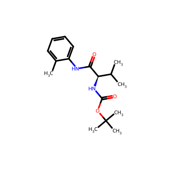 Cc1ccccc1NC(=O)[C@H](NC(=O)OC(C)(C)C)C(C)C